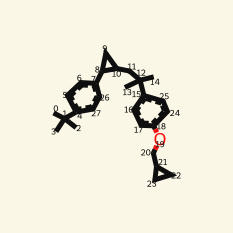 CC(C)(C)c1ccc(C2CC2CC(C)(C)c2ccc(OCC3CC3)cc2)cc1